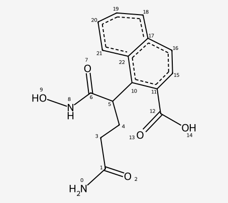 NC(=O)CCC(C(=O)NO)c1c(C(=O)O)ccc2ccccc12